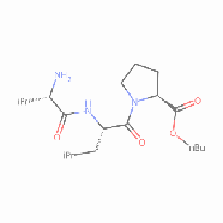 CCCCOC(=O)[C@@H]1CCCN1C(=O)[C@H](CC(C)C)NC(=O)[C@@H](N)C(C)C